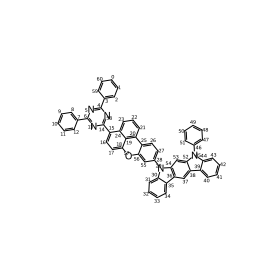 c1ccc(-c2nc(-c3ccccc3)nc(-c3ccc4c5c(cccc35)-c3ccc(-n5c6ccccc6c6cc7c8ccccc8n(-c8ccccc8)c7cc65)cc3O4)n2)cc1